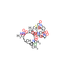 C/C1=C\C=C\C(C)C2(O)CC(OC(=O)N2)C(C)C2OC2(C)C(OC(=O)C(C)N(C)C(=O)CCC(C)(C)SC2CC(=O)N(CC3CCC(C(=O)ON4C(=O)CCC4=O)CC3)C2=O)CC(=O)N(C)c2cc(cc(C)c2Cl)C1